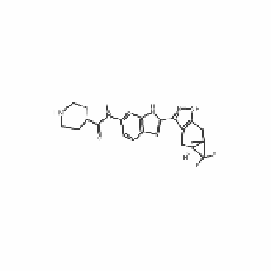 CN(C(=O)C1CCNCC1)c1ccc2cc(-c3n[nH]c4c3C[C@@H]3C(F)(F)C3(C)C4)[nH]c2c1